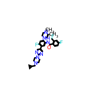 C[C@@H]1CN(c2cc(F)c(-c3cnc(N4CCN(CC5CC5)CC4)nc3)cc2NC(=O)c2ccc(F)cc2CF)CCN1C